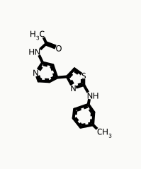 CC(=O)Nc1cc(-c2csc(Nc3cccc(C)c3)n2)ccn1